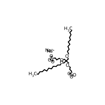 CCCCCCCCCCCCOCC(COCCCCCCCCCCCC)(COCCCS(=O)(=O)[O-])COCCCS(=O)(=O)[O-].[Na+].[Na+]